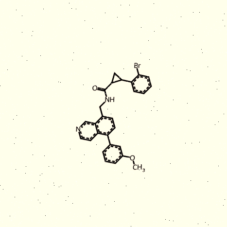 COc1cccc(-c2ccc(CNC(=O)C3CC3c3ccccc3Br)c3cnccc23)c1